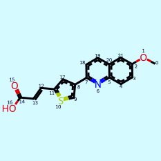 COc1ccc2nc(-c3csc(/C=C/C(=O)O)c3)ccc2c1